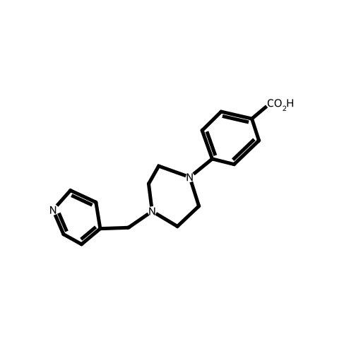 O=C(O)c1ccc(N2CCN(Cc3ccncc3)CC2)cc1